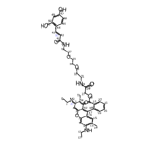 CC/N=c1\cc2oc3cc(NCC)c(C)cc3c(-c3ccccc3C(=O)OCC(=O)NCCOCCOCCNC(=O)/C=C/c3ccc(O)cc3O)c-2cc1C